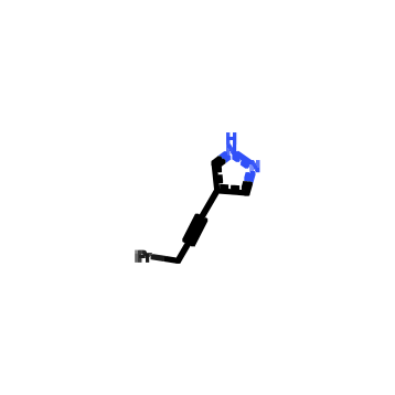 CC(C)CC#Cc1cn[nH]c1